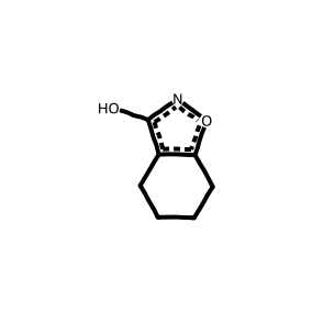 Oc1noc2c1CCCC2